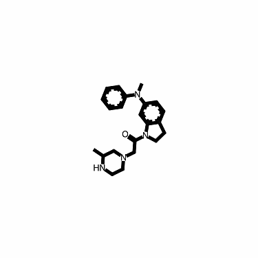 CC1CN(CC(=O)N2CCc3ccc(N(C)c4ccccc4)cc32)CCN1